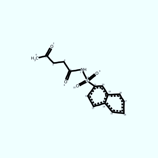 CC(=O)CCC(=O)NS(=O)(=O)c1ccc2ccccc2c1